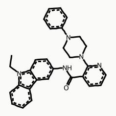 CCn1c2ccccc2c2cc(NC(=O)c3cccnc3N3CCN(c4ccccc4)CC3)ccc21